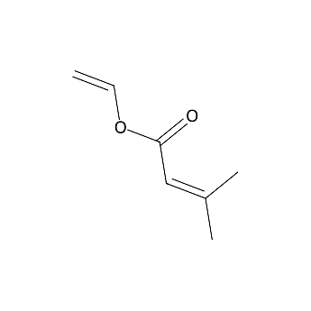 C=COC(=O)C=C(C)C